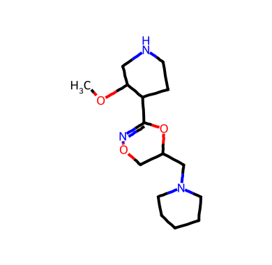 COC1CNCCC1C1=NOCC(CN2CCCCC2)O1